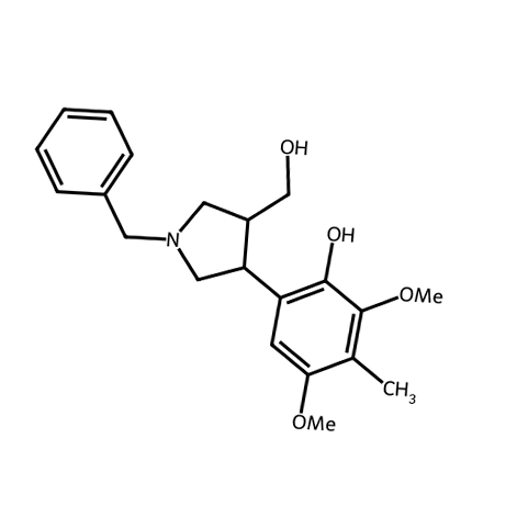 COc1cc(C2CN(Cc3ccccc3)CC2CO)c(O)c(OC)c1C